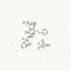 N#Cc1c(CCc2ccccc2)nc(NCC(F)(F)c2cccc[n+]2[O-])c(=O)n1CC(N)=O.O=C(O)C(F)(F)F